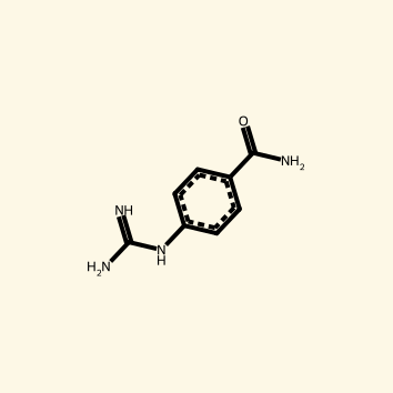 N=C(N)Nc1ccc(C(N)=O)cc1